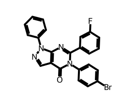 O=c1c2cnn(-c3ccccc3)c2nc(-c2cccc(F)c2)n1-c1ccc(Br)cc1